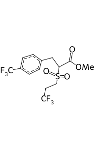 COC(=O)C(Cc1ccc(C(F)(F)F)cc1)S(=O)(=O)CCC(F)(F)F